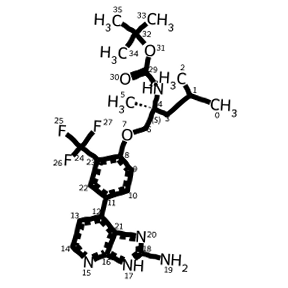 CC(C)C[C@@](C)(COc1ccc(-c2ccnc3[nH]c(N)nc23)cc1C(F)(F)F)NC(=O)OC(C)(C)C